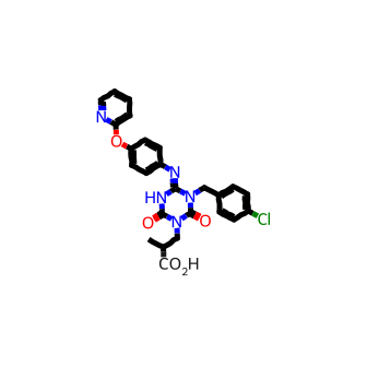 CC(Cn1c(=O)[nH]/c(=N\c2ccc(Oc3ccccn3)cc2)n(Cc2ccc(Cl)cc2)c1=O)C(=O)O